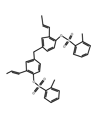 CC=Cc1cc(Cc2ccc(OS(=O)(=O)c3ccccc3C)c(C=CC)c2)ccc1OS(=O)(=O)c1ccccc1C